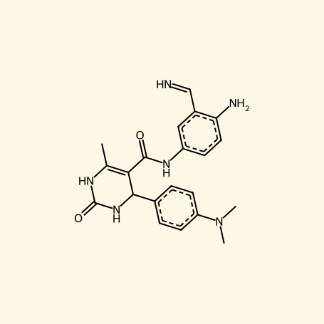 CC1=C(C(=O)Nc2ccc(N)c(C=N)c2)C(c2ccc(N(C)C)cc2)NC(=O)N1